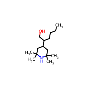 CCCCC(CO)C1CC(C)(C)NC(C)(C)C1